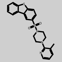 Cc1cccnc1N1CCN(S(=O)(=O)c2ccc3sc4ccccc4c3c2)CC1